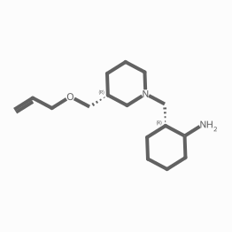 C=CCOC[C@@H]1CCCN(C[C@H]2CCCCC2N)C1